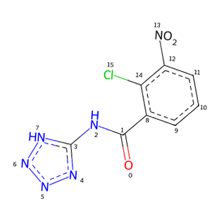 O=C(Nc1nnn[nH]1)c1cccc([N+](=O)[O-])c1Cl